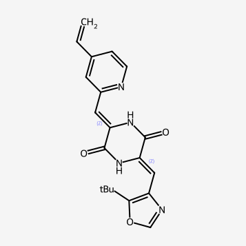 C=Cc1ccnc(/C=c2\[nH]c(=O)/c(=C/c3ncoc3C(C)(C)C)[nH]c2=O)c1